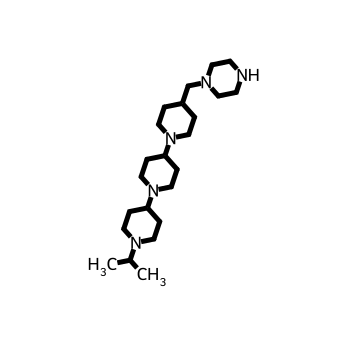 CC(C)N1CCC(N2CCC(N3CCC(CN4CCNCC4)CC3)CC2)CC1